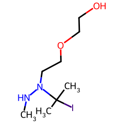 CNN(CCOCCO)C(C)(C)I